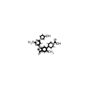 Cc1nc(N2CC[C@H](O)C2)cc(-n2nc(F)c3cc(C)c(C4CCN(C(=O)O)CC4)cc32)n1